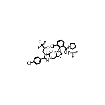 O=C(c1cccc(Cl)c1-n1cnc(Cn2nc(-c3ccc(Cl)cc3)n(CC(O)C(F)(F)F)c2=O)n1)N1CCC[C@@H]1C(F)(F)F